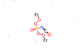 CCOOP(=O)(N=C=O)OOCC